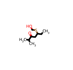 CCC(CC(=O)C(C)C)SCO